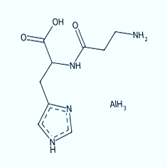 NCCC(=O)NC(Cc1c[nH]cn1)C(=O)O.[AlH3]